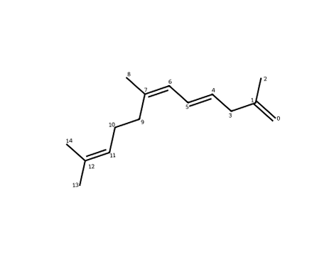 C=C(C)CC=CC=C(C)CCC=C(C)C